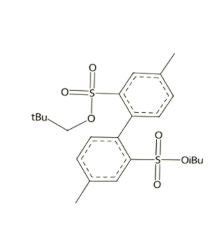 Cc1ccc(-c2ccc(C)cc2S(=O)(=O)OCC(C)(C)C)c(S(=O)(=O)OCC(C)C)c1